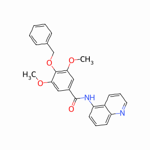 COc1cc(C(=O)Nc2cccc3ncccc23)cc(OC)c1OCc1ccccc1